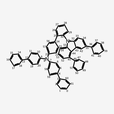 c1ccc(-c2ccc(N(c3ccc(-c4ccccc4)cc3)c3ccc(-c4ccccc4-n4c5ccc(-c6ccccc6)cc5c5c(-c6ccccc6)cccc54)cc3)cc2)cc1